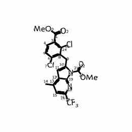 COC(=O)c1ccc(Cl)c(Cc2cc3c(C)cc(C(F)(F)F)nc3n2C(=O)OC)c1Cl